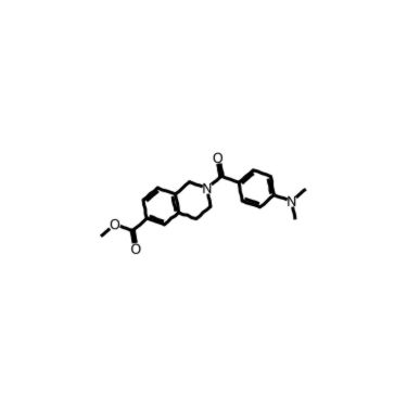 COC(=O)c1ccc2c(c1)CCN(C(=O)c1ccc(N(C)C)cc1)C2